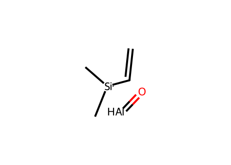 C=C[Si](C)C.[O]=[AlH]